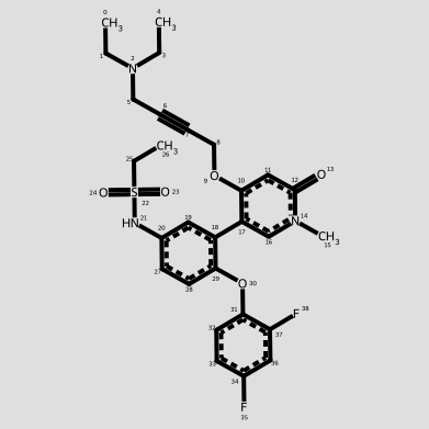 CCN(CC)CC#CCOc1cc(=O)n(C)cc1-c1cc(NS(=O)(=O)CC)ccc1Oc1ccc(F)cc1F